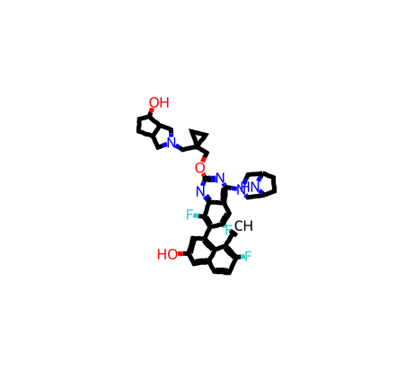 C#Cc1c(F)ccc2cc(O)cc(-c3c(F)cc4c(N5CC6CCC(C5)N6)nc(OCC5(CN6CC7CCC(O)C7C6)CC5)nc4c3F)c12